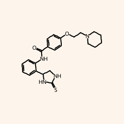 O=C(Nc1ccccc1C1CNC(=S)N1)c1ccc(OCCN2CCCCC2)cc1